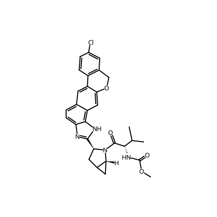 COC(=O)N[C@H](C(=O)N1[C@@H]2CC2C[C@H]1c1nc2ccc3cc4c(cc3c2[nH]1)OCc1cc(Cl)ccc1-4)C(C)C